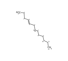 CCC/C=C/CO[CH]CCCCC